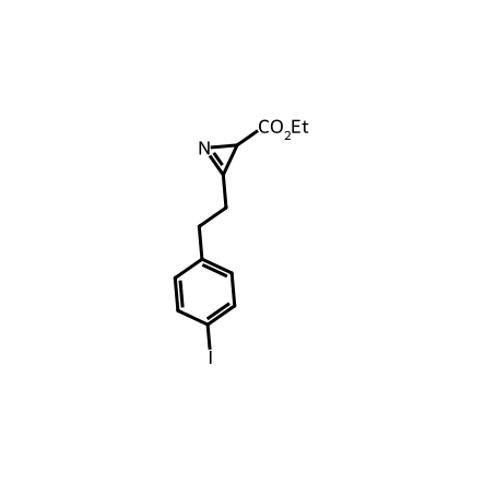 CCOC(=O)C1N=C1CCc1ccc(I)cc1